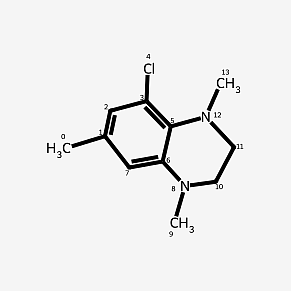 Cc1cc(Cl)c2c(c1)N(C)CCN2C